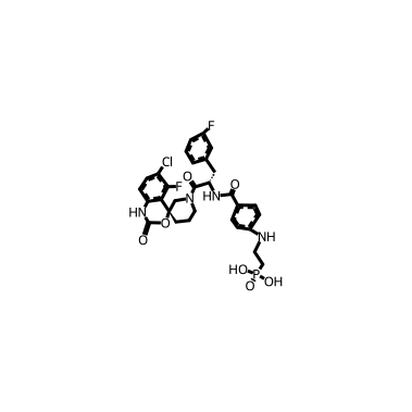 O=C1Nc2ccc(Cl)c(F)c2[C@@]2(CCCN(C(=O)[C@H](Cc3cccc(F)c3)NC(=O)c3ccc(NCCP(=O)(O)O)cc3)C2)O1